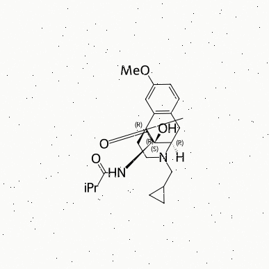 COc1ccc2c(c1)[C@]13CCN(CC4CC4)[C@H](C2)[C@]1(O)C[C@@H](NC(=O)C(C)C)C(=O)C3